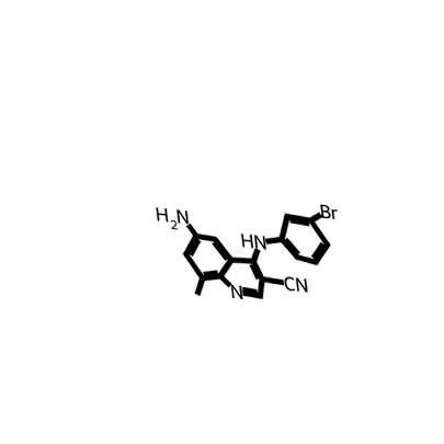 Cc1cc(N)cc2c(Nc3cccc(Br)c3)c(C#N)cnc12